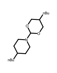 CCCCC1CCN(C2OCC(CCCC)CO2)CC1